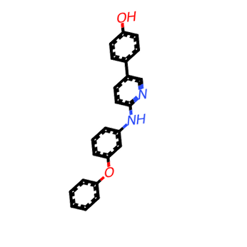 Oc1ccc(-c2ccc(Nc3cccc(Oc4ccccc4)c3)nc2)cc1